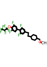 COCC1CCC(CCc2cc(F)c(-c3cc(F)c(OC(F)(F)C(F)C(F)(F)F)c(F)c3)c(F)c2)CC1